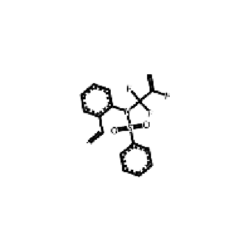 [CH]=Cc1ccccc1N(C(F)(F)C(=C)F)S(=O)(=O)c1ccccc1